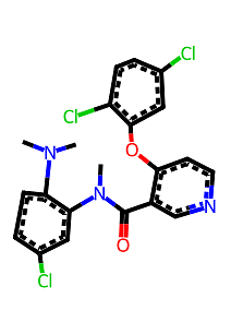 CN(C)c1ccc(Cl)cc1N(C)C(=O)c1cnccc1Oc1cc(Cl)ccc1Cl